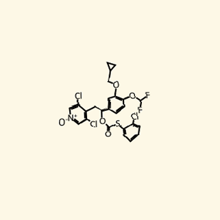 O=C(O[C@@H](Cc1c(Cl)c[n+]([O-])cc1Cl)c1ccc(OC(F)F)c(OCC2CC2)c1)Sc1ccccc1Cl